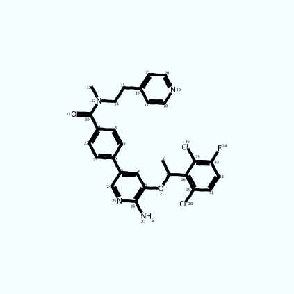 CC(Oc1cc(-c2ccc(C(=O)N(C)CCc3ccncc3)cc2)cnc1N)c1c(Cl)ccc(F)c1Cl